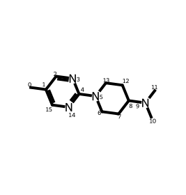 Cc1cnc(N2CCC(N(C)C)CC2)nc1